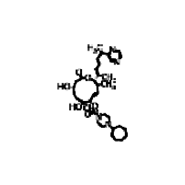 C/C(=C\C=C\C(C)c1cnccn1)[C@H]1OC(=O)C[C@H](O)CC[C@@](C)(O)[C@@H](OC(=O)N2CCN(C3CCCCCC3)CC2)/C=C/[C@@H]1C